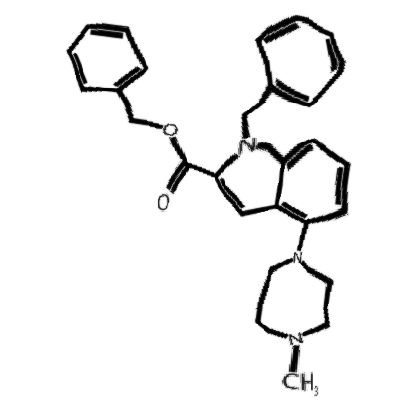 CN1CCN(c2cccc3c2cc(C(=O)OCc2ccccc2)n3Cc2ccccc2)CC1